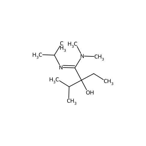 CCC(O)(C(=NC(C)C)N(C)C)C(C)C